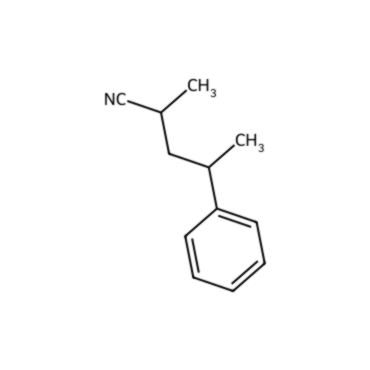 CC(C#N)CC(C)c1ccccc1